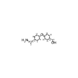 NC1CC1c1ccc(Oc2ccc(CO)cc2)cc1